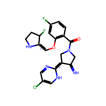 N=C1CN(C(=O)c2ccc(F)cc2O/C=C2/NCCC2F)C/C1=C1\N=CC(Cl)=CN1